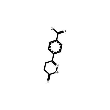 O=C1CCC(c2ccc(C(=O)Cl)cc2)=NN1